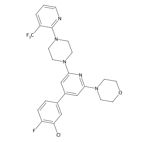 Fc1ccc(-c2cc(N3CCOCC3)nc(N3CCN(c4ncccc4C(F)(F)F)CC3)c2)cc1Cl